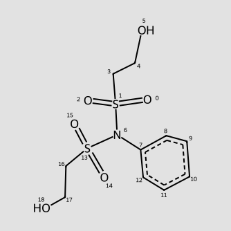 O=S(=O)(CCO)N(c1ccccc1)S(=O)(=O)CCO